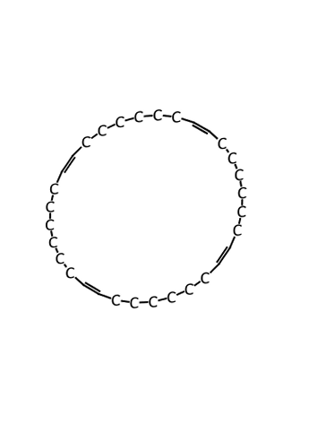 C1=CCCCCCCC=CCCCCCCC=CCCCCCCC=CCCCCCC1